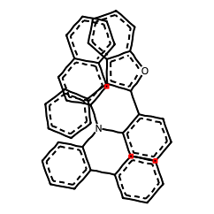 c1ccc(-c2ccccc2N(c2ccc3ccccc3c2)c2ccccc2-c2oc3ccccc3c2-c2ccccc2)cc1